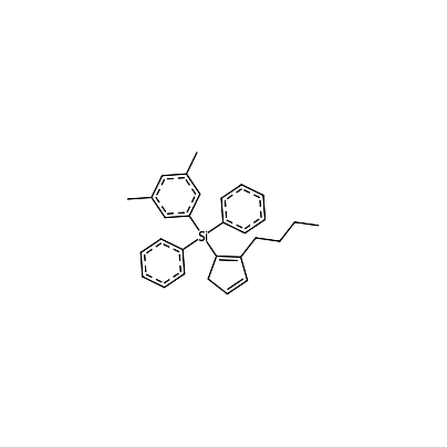 CCCCC1=C([Si](c2ccccc2)(c2ccccc2)c2cc(C)cc(C)c2)CC=C1